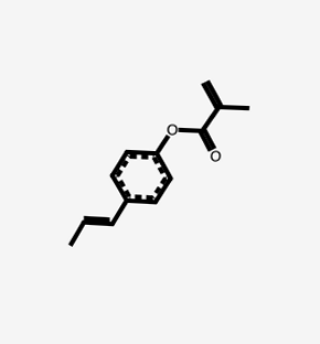 C=C(C)C(=O)Oc1ccc(C=CC)cc1